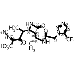 CC(C(=O)C(=[N+]=[N-])C(=O)O)[C@H]1NC(=O)[C@@H]1[C@@H](C)NC(=O)Cn1nnnc1C(F)(F)F